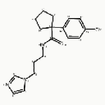 S=C(NCCCn1ccnc1)C1(c2ccc(Cl)cc2)CCCC1